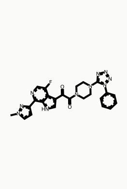 Cn1ccc(-c2ncc(F)c3c(C(=O)C(=O)N4CCN(c5nnnn5-c5ccccc5)CC4)c[nH]c23)n1